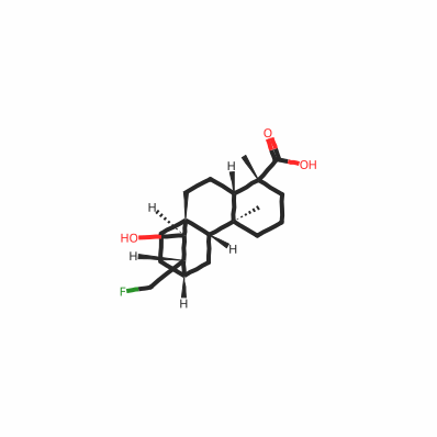 C[C@@]12CCC[C@@](C)(C(=O)O)[C@H]1CC[C@@]13CC[C@@H](C[C@@H]21)[C@H](CF)[C@H]3O